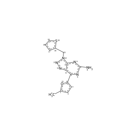 Cc1ccc(-c2nc(N)nc3c2nnn3Cc2cccs2)o1